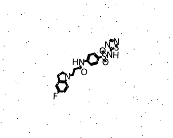 O=C(CCN1CCc2cc(F)ccc21)Nc1ccc(S(=O)(=O)Nc2ncns2)cc1